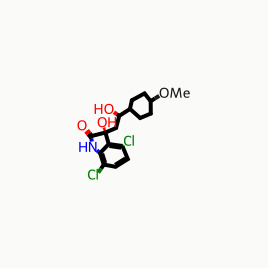 COC1CCC(C(O)C[C@@]2(O)C(=O)Nc3c(Cl)ccc(Cl)c32)CC1